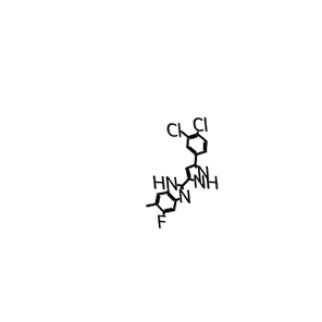 Cc1cc2[nH]c(-c3cc(-c4ccc(Cl)c(Cl)c4)n[nH]3)nc2cc1F